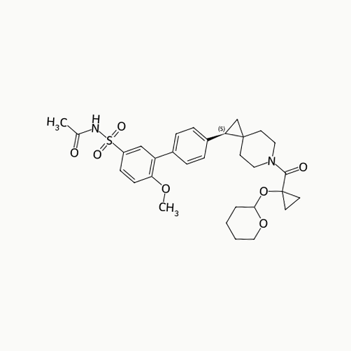 COc1ccc(S(=O)(=O)NC(C)=O)cc1-c1ccc([C@H]2CC23CCN(C(=O)C2(OC4CCCCO4)CC2)CC3)cc1